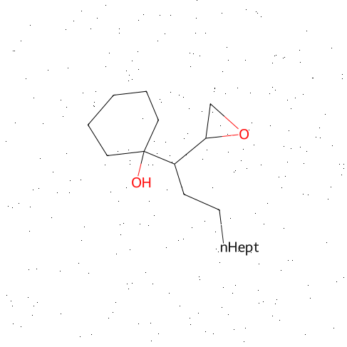 CCCCCCCCCC(C1CO1)C1(O)CCCCC1